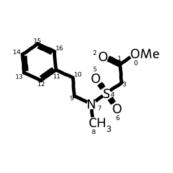 COC(=O)CS(=O)(=O)N(C)CCc1ccccc1